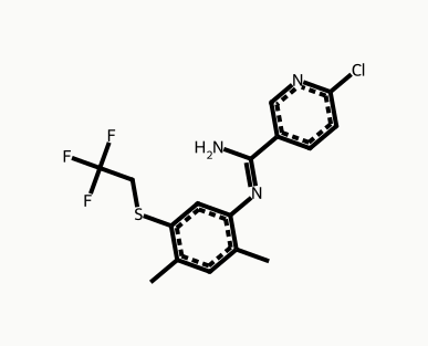 Cc1cc(C)c(SCC(F)(F)F)cc1/N=C(\N)c1ccc(Cl)nc1